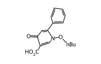 CCCCOn1cc(C(=O)O)c(=O)cc1-c1ccccc1